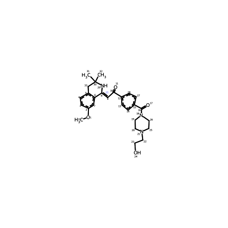 COc1ccc2c(c1)/C(=C/C(=O)c1ccc(C(=O)N3CCN(CCO)CC3)cc1)NC(C)(C)C2